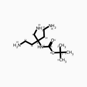 CC(C)(C)OC(=O)NC(CN)(CCN)CCN